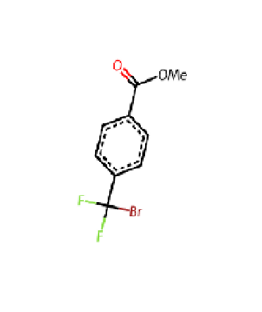 COC(=O)c1ccc(C(F)(F)Br)cc1